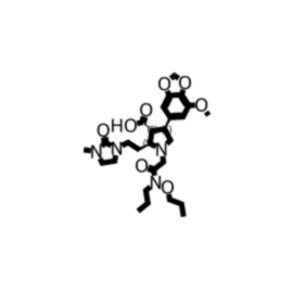 CCCON(CCC)C(=O)CN1C[C@H](c2cc(OC)c3c(c2)OCO3)[C@@H](C(=O)O)[C@@H]1CCN1CCN(C)C1=O